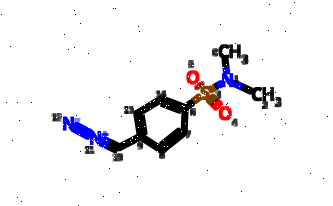 CN(C)S(=O)(=O)c1ccc(C=[N+]=[N-])cc1